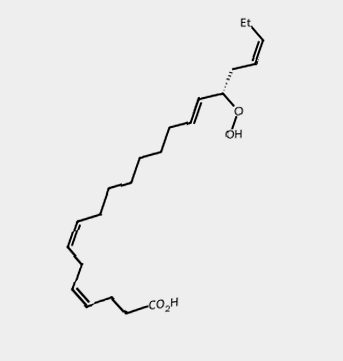 CC/C=C\C[C@@H](/C=C/CCCCCC/C=C\C/C=C\CCC(=O)O)OO